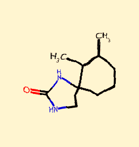 CC1CCCC2(CNC(=O)N2)C1C